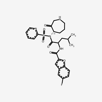 CC(C)CC(NC(=O)c1cc2cc(F)ccc2o1)C(=O)N([C@H]1CCCNCC1=O)S(=O)(=O)c1ccccn1